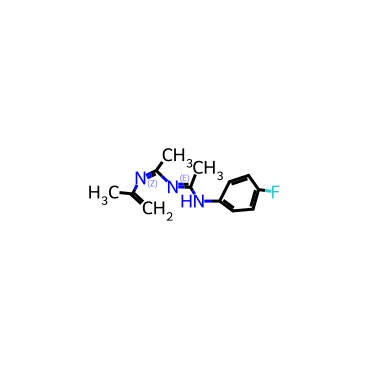 C=C(C)/N=C(C)\N=C(/C)Nc1ccc(F)cc1